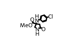 COC(=O)C1(Nc2ccc(Cl)cc2)CNC(=O)C1